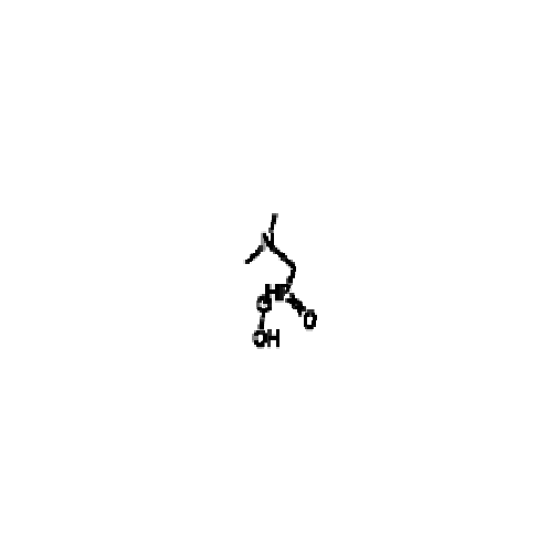 CN(C)C[PH](=O)OO